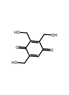 O=C1C=C(CO)C(=O)C(CO)=C1CO